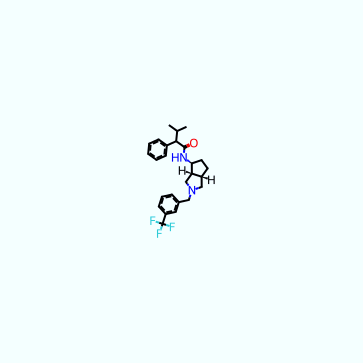 CC(C)C(C(=O)N[C@H]1CC[C@@H]2CN(Cc3cccc(C(F)(F)F)c3)C[C@@H]21)c1ccccc1